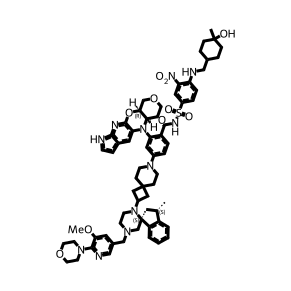 COc1cc(CN2CCN(C3CC4(CCN(c5ccc(C(=O)NS(=O)(=O)c6ccc(NCC7CCC(C)(O)CC7)c([N+](=O)[O-])c6)c(N6c7cc8cc[nH]c8nc7O[C@H]7COCC[C@@H]76)c5)CC4)C3)[C@]3(C[C@H](C)c4ccccc43)C2)cnc1N1CCOCC1